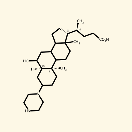 C[C@@H](CCC(=O)O)[C@H]1CCC2C3CC(O)[C@@H]4CC(N5CCNCC5)CC[C@]4(C)C3CCC21C